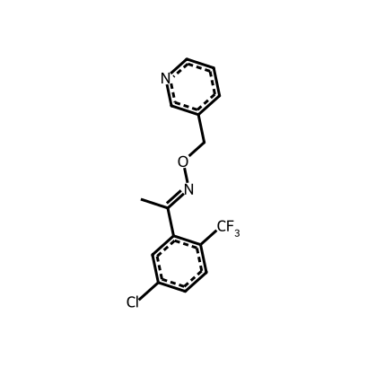 C/C(=N\OCc1cccnc1)c1cc(Cl)ccc1C(F)(F)F